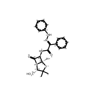 CC1(C)S[C@@H]2[C@H](NC(=O)C(=NNc3ccccc3)c3ccccc3)C(=O)N2[C@H]1C(=O)O